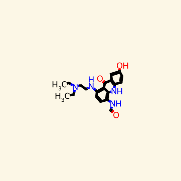 CCN(CC)CCNc1ccc(NC=O)c2[nH]c3ccc(O)cc3c(=O)c12